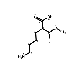 [2H]ON(F)[C@@H](CCCCN)C(=O)O